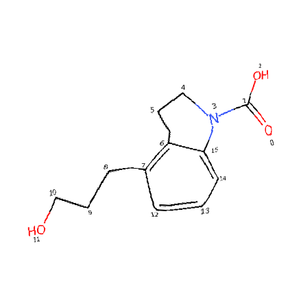 O=C(O)N1CCc2c(CCCO)cccc21